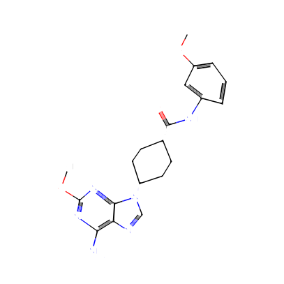 COc1cccc(NC(=O)[C@H]2CC[C@@H](n3cnc4c(N)nc(OC)nc43)CC2)c1